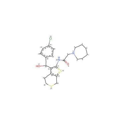 O=C(CN1CCCCCC1)Nc1sc2c(c1C(O)c1ccc(Cl)cc1)CCSC2